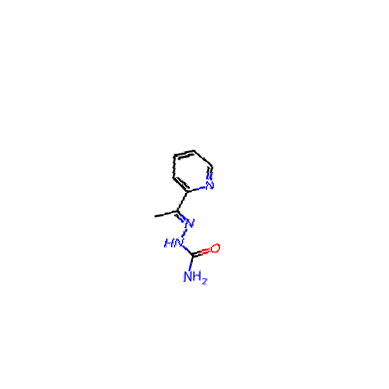 CC(=NNC(N)=O)c1ccccn1